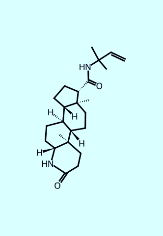 C=CC(C)(C)NC(=O)[C@H]1CC[C@H]2[C@@H]3CC[C@H]4NC(=O)CC[C@]4(C)[C@H]3CC[C@]12C